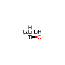 [La].[LiH].[LiH].[O]=[Ti]